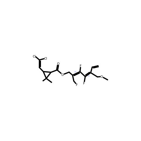 C=C/C(COC)=C(F)\C(F)=C(/CF)COC(=O)C1C(C=C(Cl)Cl)C1(C)C